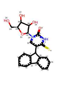 O=c1[nH]c(=S)c(C2c3ccccc3-c3ccccc32)cn1[C@H]1O[C@@H](CO)C(O)C1O